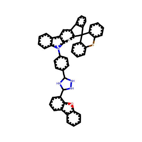 c1ccc2c(c1)Sc1ccccc1C21c2ccccc2-c2cc3c4ccccc4n(-c4ccc(C5NNC(c6cccc7c6oc6ccccc67)N5)cc4)c3cc21